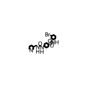 O=C(NCc1cccnc1)Nc1ccc(S(=O)(=O)Nc2cccc(Br)c2)cc1